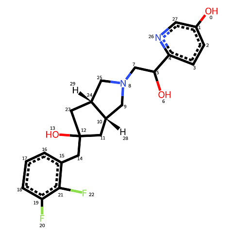 Oc1ccc(C(O)CN2C[C@@H]3CC(O)(Cc4cccc(F)c4F)C[C@@H]3C2)nc1